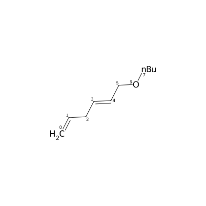 C=CCC=CCOCCCC